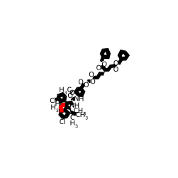 COc1cc(C(=O)OCOC(=O)CCC[C@@H](CCC(=O)OCc2ccccc2)C(=O)OCc2ccccc2)ccc1NC(=O)[C@@H]1N[C@@H](CC(C)(C)C)[C@](C(C)=N)(c2ccc(Cl)cc2F)[C@H]1c1cccc(Cl)c1F